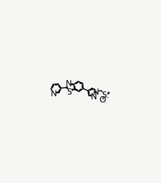 C[S+]([O-])Cn1cc(-c2ccc3nc(-c4cccnc4)sc3c2)cn1